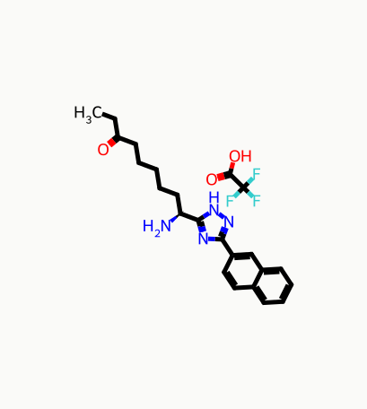 CCC(=O)CCCCC[C@H](N)c1nc(-c2ccc3ccccc3c2)n[nH]1.O=C(O)C(F)(F)F